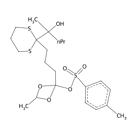 CCCC(C)(O)C1(CCCC2(OS(=O)(=O)c3ccc(C)cc3)OC(C)O2)SCCCS1